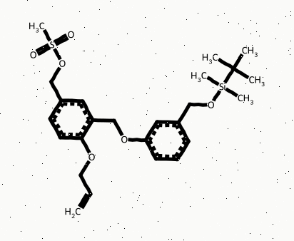 C=CCOc1ccc(COS(C)(=O)=O)cc1COc1cccc(CO[Si](C)(C)C(C)(C)C)c1